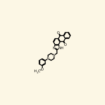 COc1cccc(N2CCN(Cc3nc4ccc5c(c4[nH]3)C(=O)c3ccccc3C5=O)CC2)c1